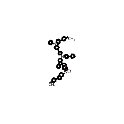 C=Cc1ccc(-c2ccc3c(c2)C=CC(OCC(CC)CCCCC2(c4ccccc4)C4=CC(N(c5ccc(-c6ccccc6)cc5)c5ccc(-c6ccc7c(c6)c6cc(-c8ccc(C=C)cc8)ccc6n7-c6ccccc6)cc5)=CCC4c4ccccc42)C3)cc1